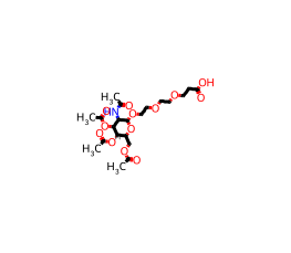 CC(=O)NC1C(OCCOCCOCCC(=O)O)OC(COC(C)=O)[C@H](OC(C)=O)C1OC(C)=O